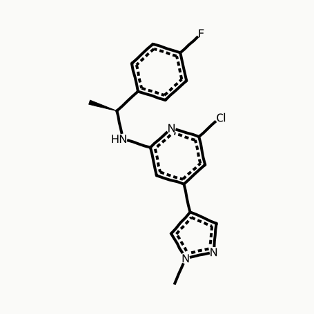 C[C@H](Nc1cc(-c2cnn(C)c2)cc(Cl)n1)c1ccc(F)cc1